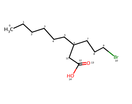 CCCCCCC(CCCBr)CC(=O)O